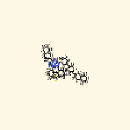 c1cc(-c2ccc(-c3ccc4ccccc4c3)cc2)cc(-c2nc(-c3ccc4ccccc4c3)nc(-c3cccc4sc5ccccc5c34)n2)c1